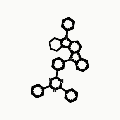 c1ccc(-c2nc(-c3ccccc3)nc(-c3cccc(-n4c5ccccc5c5ccc6c(c7c(n6-c6ccccc6)CCCC7)c54)c3)n2)cc1